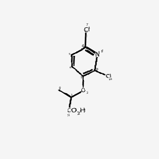 CC(Oc1ccc(Cl)nc1Cl)C(=O)O